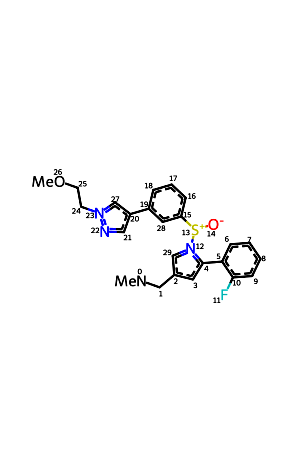 CNCc1cc(-c2ccccc2F)n([S+]([O-])c2cccc(-c3cnn(CCOC)c3)c2)c1